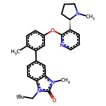 Cc1ccc(Oc2ncccc2[C@@H]2CCCN2C)cc1-c1ccc2c(c1)n(C)c(=O)n2CC(C)(C)C